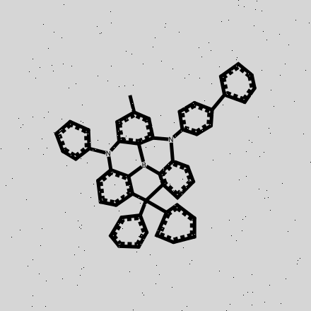 Cc1cc2c3c(c1)N(c1ccc(-c4ccccc4)cc1)c1cccc4c1B3c1c(cccc1C4(c1ccccc1)c1ccccc1)N2c1ccccc1